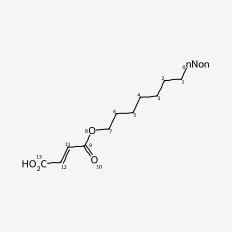 CCCCCCCCCCCCCCCCOC(=O)C=CC(=O)O